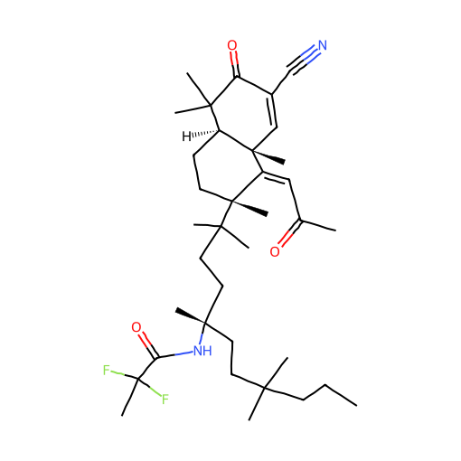 CCCC(C)(C)CC[C@@](C)(CCC(C)(C)[C@]1(C)CC[C@H]2C(C)(C)C(=O)C(C#N)=C[C@]2(C)/C1=C/C(C)=O)NC(=O)C(C)(F)F